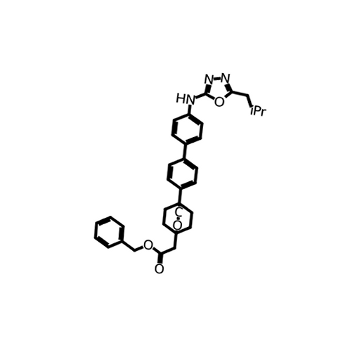 CC(C)Cc1nnc(Nc2ccc(-c3ccc(C45CCC(CC(=O)OCc6ccccc6)(CC4)OC5)cc3)cc2)o1